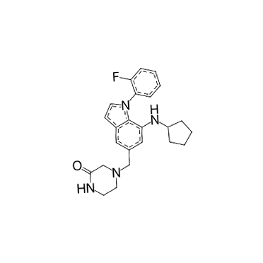 O=C1CN(Cc2cc(NC3CCCC3)c3c(ccn3-c3ccccc3F)c2)CCN1